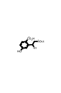 CCCCCCCCCC(CC)c1cc(O)ccc1C(=O)O